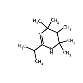 CC(C)C1=NC(C)(C)C(C)C(C)(C)N1